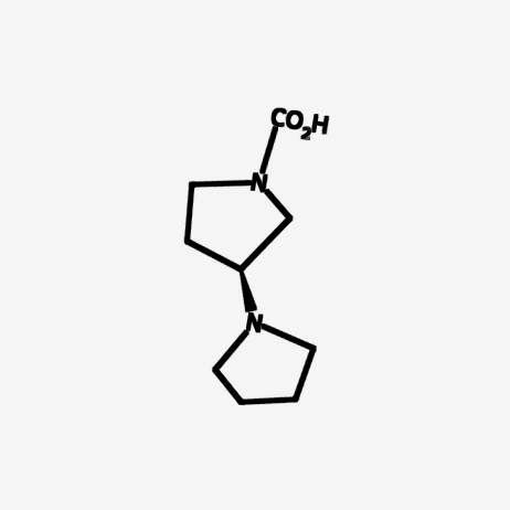 O=C(O)N1CC[C@H](N2CCCC2)C1